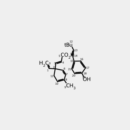 C=CC1(C=CC(=O)O)C=CC(C)=CC1.CC(C)(C)C=Cc1ccc(O)cc1